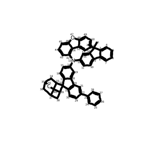 CC1(C)c2ccccc2-c2ccc(N(c3ccc4c(c3)-c3cc(-c5ccccc5)ccc3C43C4CC5CC6CC3C64C5)c3cccc4oc5ccccc5c34)cc21